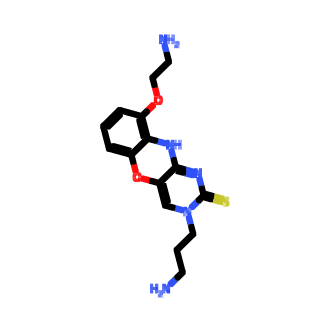 NCCCn1cc2c(nc1=S)Nc1c(OCCN)cccc1O2